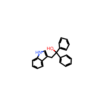 OC(Cc1c[nH]c2ccccc12)(c1ccccc1)c1ccccc1